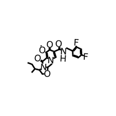 CCC(C)C1COC2Cn3cc(C(=O)NCc4ccc(F)cc4F)c(=O)c(OC)c3C(=O)N21